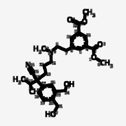 COC(=O)c1cc(CCN(C)CCCC(C#N)(c2ccc(CO)c(CO)c2)C(C)C)cc(C(=O)OC)c1